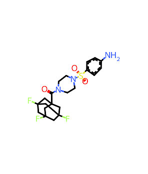 Nc1ccc(S(=O)(=O)N2CCN(C(=O)C34CC5(F)CC(F)(CC(F)(C5)C3)C4)CC2)cc1